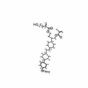 C=C(C)C(=O)OCC(CCOC(=O)C(=C)CC(=O)O)C1CCC(CCC2CCC(c3ccc(CCCCC)cc3)CC2)CC1